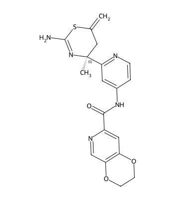 C=C1C[C@@](C)(c2cc(NC(=O)c3cc4c(cn3)OCCO4)ccn2)N=C(N)S1